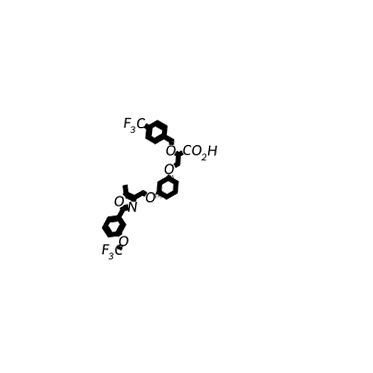 Cc1oc(-c2cccc(OC(F)(F)F)c2)nc1CO[C@H]1CCC[C@@H](OCC(OCc2ccc(C(F)(F)F)cc2)C(=O)O)C1